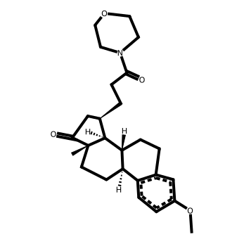 COc1ccc2c(c1)CC[C@H]1[C@@H]3[C@H](CCC(=O)N4CCOCC4)CC(=O)[C@@]3(C)CC[C@H]21